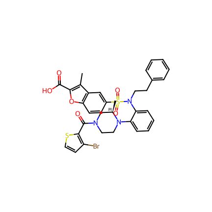 Cc1c(C(=O)O)oc2ccc(S(=O)(=O)N(CCc3ccccc3)c3ccccc3N3CCN(C(=O)c4sccc4Br)C[C@H]3C)cc12